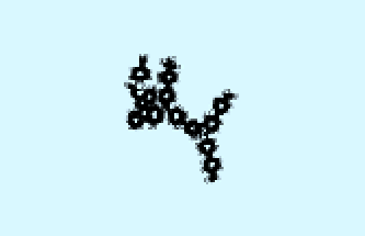 C=CC1=CC=C(OC(C)CCCC2(c3ccccc3)c3ccccc3-c3ccc(N(C4=CC=C(c5ccc6c(c5)C5CC(C7=CCC(C=C)C=C7)CC=C5N6c5ccc(-c6ccc(C=C)cc6)cc5)CC4)c4ccc(-c5ccc(C(C)(C)C)cc5)cc4)cc32)CC1